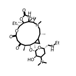 CCNC[C@@H]1CC(N(C)C)[C@@H](O)[C@H](O[C@@H]2[C@@H](C)C(=O)CC(=O)O[C@H](CC)[C@@]3(C)OC(=O)N[C@@H]3[C@@H](C)N(C)C[C@H](C)C3C[C@]32C)O1